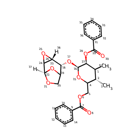 CC1[C@H](C)C(COC(=O)c2ccccc2)O[C@@H](O[C@@H]2C3CO[C@H](O3)C3O[C@@H]32)[C@H]1OC(=O)c1ccccc1